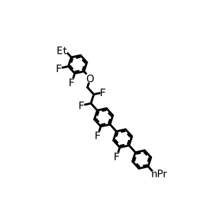 CCCc1ccc(-c2ccc(-c3ccc(C(F)C(F)COc4ccc(CC)c(F)c4F)cc3F)cc2F)cc1